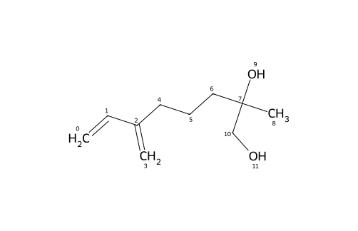 C=CC(=C)CCCC(C)(O)CO